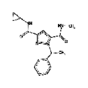 CNC(=O)c1cc(C(=O)NC2CC2)nn1C(C)c1ccccc1